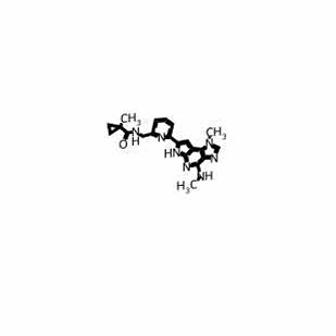 CNc1nc2[nH]c(-c3cccc(CNC(=O)C4(C)CC4)n3)cc2c2c1ncn2C